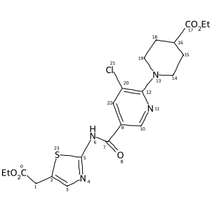 CCOC(=O)Cc1cnc(NC(=O)c2cnc(N3CCC(C(=O)OCC)CC3)c(Cl)c2)s1